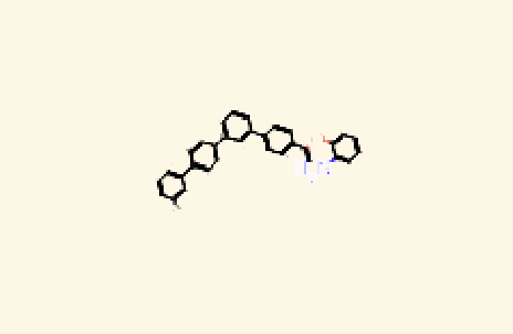 C=C(Oc1ccccc1N)c1ccc(-c2cccc(-c3ccc(-c4cccc(C(F)(F)F)c4)cc3)c2)cc1